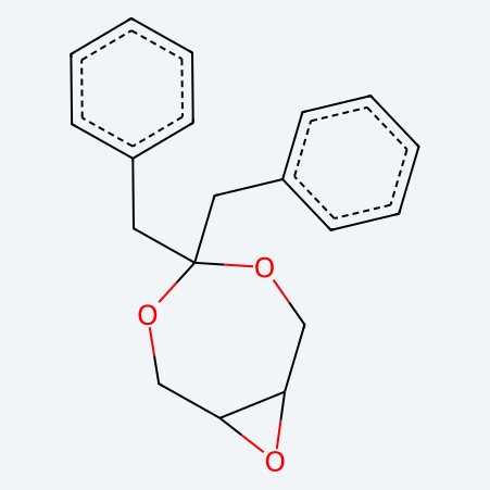 c1ccc(CC2(Cc3ccccc3)OCC3OC3CO2)cc1